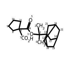 CC(C)(OC(=O)C1(C(=O)O)CCCC1)C12CC3CC(CC(C3)C1)C2